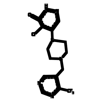 O=c1[nH]ncc(N2CCN(Cc3cncnc3C(F)(F)F)CC2)c1Cl